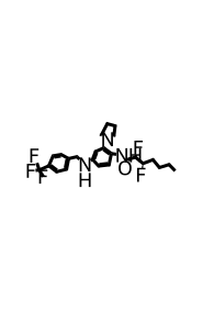 CCCC[C@H](F)[C@H](F)C(=O)Nc1ccc(NCc2ccc(C(F)(F)F)cc2)cc1N1CCCC1